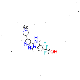 CC(=O)N1CC=C(c2cnc3nc(C)nc(NC(C)c4cccc(C(F)(F)C(C)(C)O)c4F)c3c2)CC1